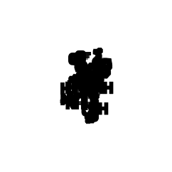 CNC(=N)NCCC[C@@H](NC(=O)[C@@H](CCCCNC(=O)OC(C)(C)C)NC(=O)COc1ccc2ccccc2c1-c1c(OCCC(C)C)ccc2ccccc12)C(=O)N[C@@H](CC(C)C)C(=O)OCc1ccc([N+](=O)[O-])cc1